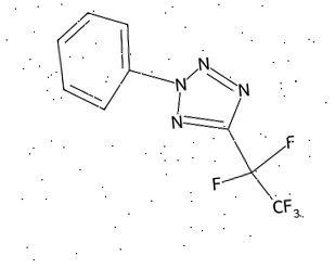 FC(F)(F)C(F)(F)c1nnn(-c2ccccc2)n1